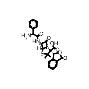 CC1(C)S[C@@H]2[C@H](NC(=O)C(N)c3ccccc3)C(=O)N2[C@]1(C(=O)O)C1OC(=O)c2ccccc21